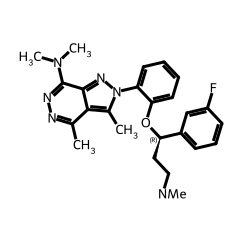 CNCC[C@@H](Oc1ccccc1-n1nc2c(N(C)C)nnc(C)c2c1C)c1cccc(F)c1